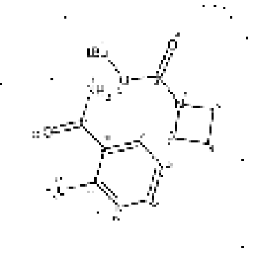 CC(C)(C)OC(=O)N1CCC1.NC(=O)c1cccnc1C(F)(F)F